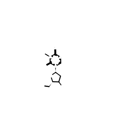 Cn1c(=N)ncn([C@H]2CC(O)[C@@H](CO)O2)c1=O